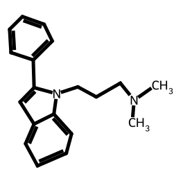 CN(C)CCCn1c(-c2ccccc2)cc2ccccc21